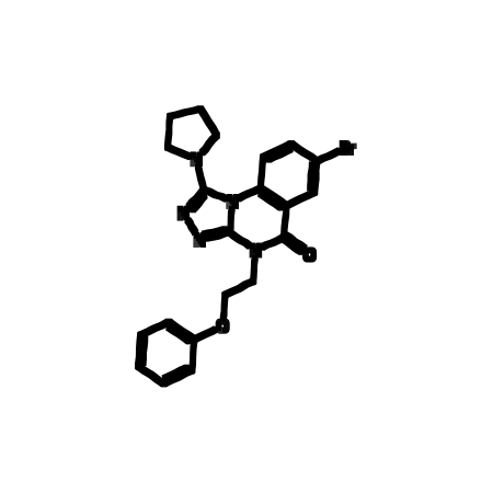 O=c1c2cc(Br)ccc2n2c(N3CCCC3)nnc2n1CCOc1ccccc1